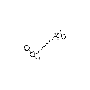 CC(NC(=O)CCCCCCCCCCn1nc(-c2ccccc2)ccc1=N)C1CCCC1